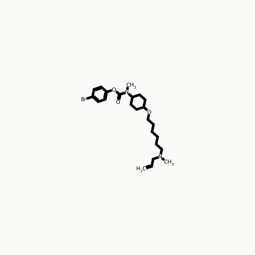 C=CCN(C)CCCCCCOC1CCC(N(C)C(=O)Oc2ccc(Br)cc2)CC1